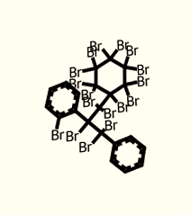 Brc1ccccc1C(Br)(C(Br)(Br)c1ccccc1)C(Br)(Br)C1(Br)C(Br)(Br)C(Br)(Br)C(Br)(Br)C(Br)(Br)C1(Br)Br